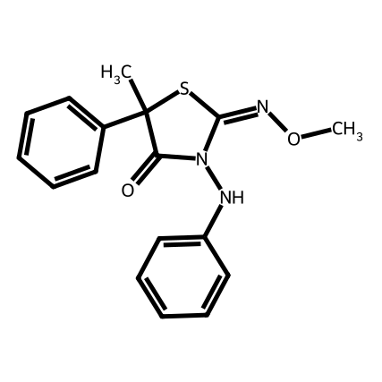 CO/N=C1/SC(C)(c2ccccc2)C(=O)N1Nc1ccccc1